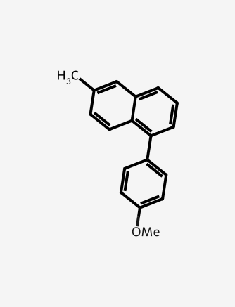 COc1ccc(-c2cccc3cc(C)ccc23)cc1